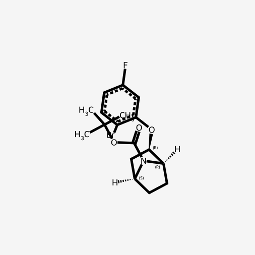 CC(C)(C)OC(=O)N1[C@H]2CC[C@@H]1[C@H](Oc1cc(F)ccc1Br)C2